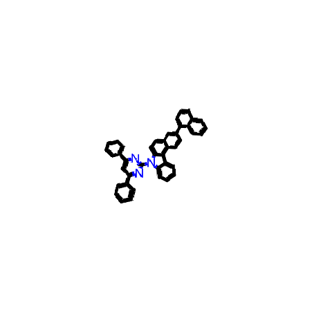 c1ccc(-c2cc(-c3ccccc3)nc(-n3c4ccccc4c4c5ccc(-c6cccc7ccccc67)cc5ccc43)n2)cc1